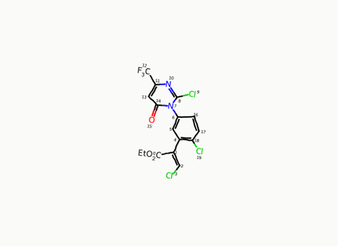 CCOC(=O)C(=CCl)c1cc(-n2c(Cl)nc(C(F)(F)F)cc2=O)ccc1Cl